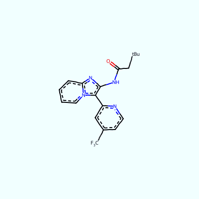 CC(C)(C)CC(=O)Nc1nc2ccccn2c1-c1cc(C(F)(F)F)ccn1